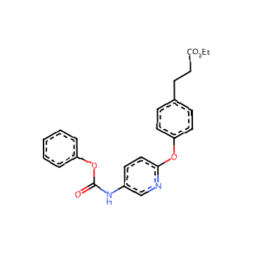 CCOC(=O)CCc1ccc(Oc2ccc(NC(=O)Oc3ccccc3)cn2)cc1